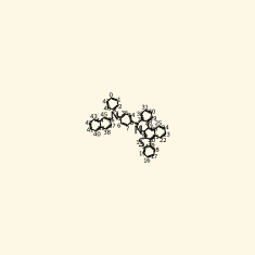 c1ccc(N(c2ccc(-c3nc4c5sc6ccccc6c5c5ccccc5c4c4ccccc34)cc2)c2ccc3ccccc3c2)cc1